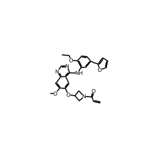 C=CC(=O)N1CC(Oc2cc3c(Nc4cc(-c5ccco5)ccc4OCC)ncnc3cc2OC)C1